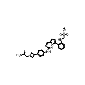 CS(=O)(=O)CNc1ccccc1-c1ccc2cnc(Nc3ccc(C4CN(CC(N)=O)C4)cc3)nn12